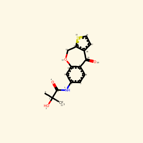 CC(O)(C(=O)Nc1ccc2c(c1)OCc1sccc1C2=O)C(F)(F)F